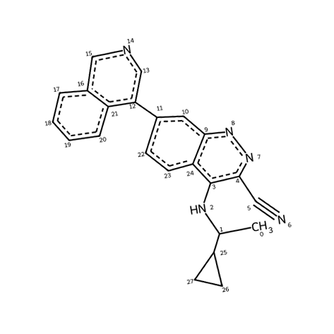 CC(Nc1c(C#N)nnc2cc(-c3cncc4ccccc34)ccc12)C1CC1